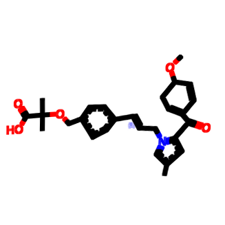 COC1C=CC(C(=O)c2cc(C)cn2C/C=C/c2ccc(COC(C)(C)C(=O)O)cc2)=CC1